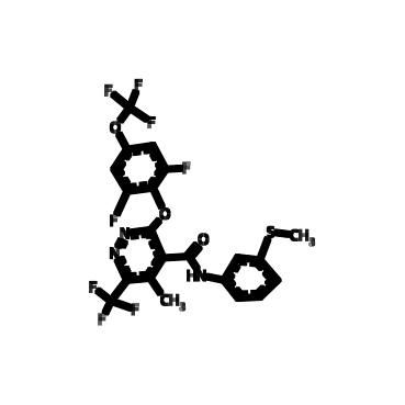 CSc1cccc(NC(=O)c2c(Oc3c(F)cc(OC(F)(F)F)cc3F)nnc(C(F)(F)F)c2C)c1